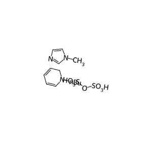 CCCCN1C=CC=CC1.Cn1ccnc1.O=S(=O)(O)OS(=O)(=O)O